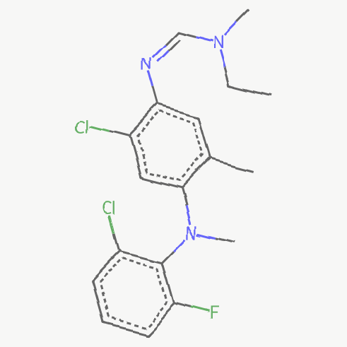 CCN(C)/C=N\c1cc(C)c(N(C)c2c(F)cccc2Cl)cc1Cl